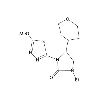 CCN1CC(N2CCOCC2)N(c2nnc(OC)s2)C1=O